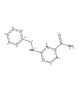 NC(=O)c1nccc(NCc2ccccc2)n1